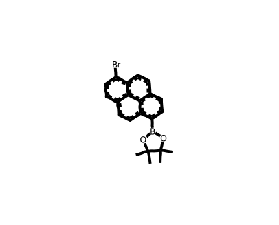 CC1(C)OB(c2ccc3ccc4c(Br)ccc5ccc2c3c54)OC1(C)C